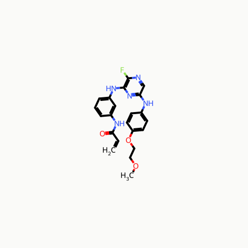 C=CC(=O)Nc1cccc(Nc2nc(Nc3ccc(OCCOC)cc3)cnc2F)c1